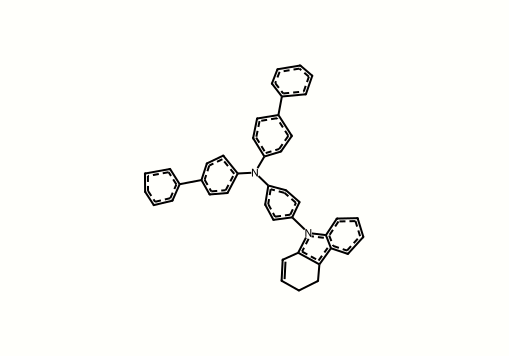 C1=Cc2c(c3ccccc3n2-c2ccc(N(c3ccc(-c4ccccc4)cc3)c3ccc(-c4ccccc4)cc3)cc2)CC1